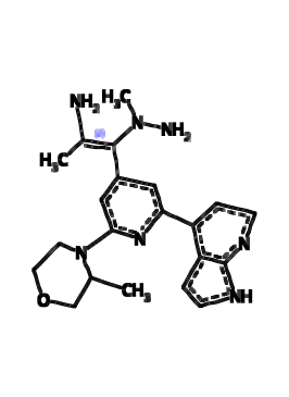 C/C(N)=C(\c1cc(-c2ccnc3[nH]ccc23)nc(N2CCOCC2C)c1)N(C)N